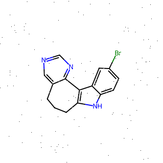 Brc1ccc2[nH]c3c(c2c1)-c1ncncc1CCC3